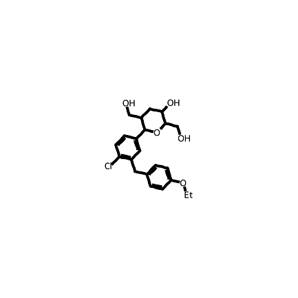 CCOc1ccc(Cc2cc(C3OC(CO)C(O)CC3CO)ccc2Cl)cc1